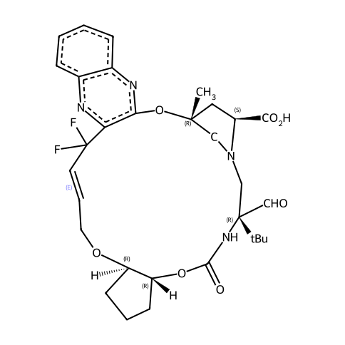 CC(C)(C)[C@]1(C=O)CN2C[C@@](C)(C[C@H]2C(=O)O)Oc2nc3ccccc3nc2C(F)(F)/C=C/CO[C@@H]2CCC[C@H]2OC(=O)N1